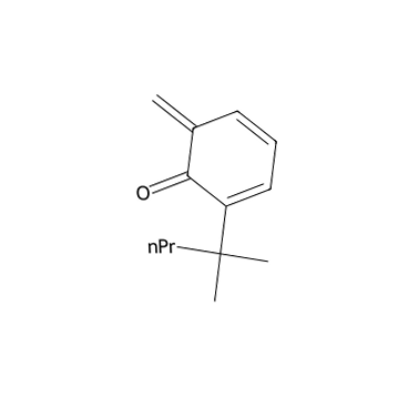 C=C1C=CC=C(C(C)(C)CCC)C1=O